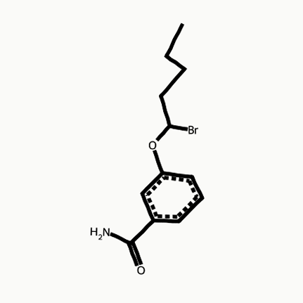 CCCCC(Br)Oc1cccc(C(N)=O)c1